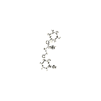 Brc1cccc(OCCC(Br)Oc2ccccc2)c1